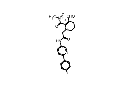 CN(C)C(=O)C1=C(C=O)CCCN1CC(=O)Nc1ccc(-c2ccc(F)cc2)nc1